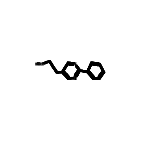 CCCCCCCCCCc1cnc(-c2cc[c]cc2)nc1